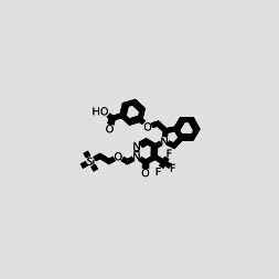 C[Si](C)(C)CCOCn1ncc(N2Cc3ccccc3C2COc2cccc(C(=O)O)c2)c(C(F)(F)F)c1=O